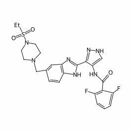 CCS(=O)(=O)N1CCN(Cc2ccc3[nH]c(-c4n[nH]cc4NC(=O)c4c(F)cccc4F)nc3c2)CC1